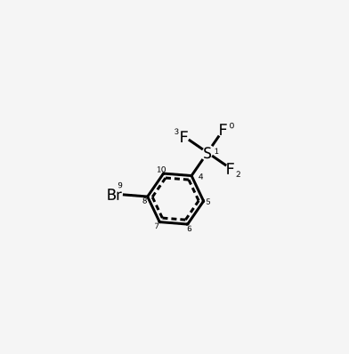 FS(F)(F)c1cccc(Br)c1